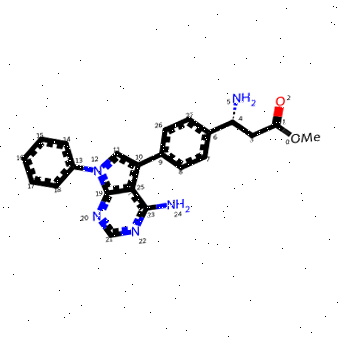 COC(=O)C[C@@H](N)c1ccc(-c2cn(-c3ccccc3)c3ncnc(N)c23)cc1